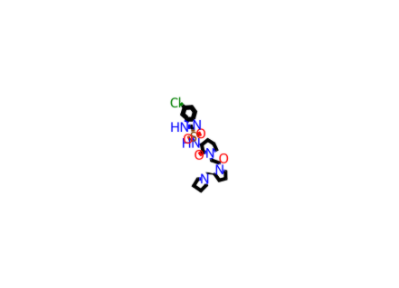 O=C1[C@@H](NS(=O)(=O)c2nc3ccc(Cl)cc3[nH]2)CCCN1CC(=O)N1CCC[C@H]1CN1CCCC1